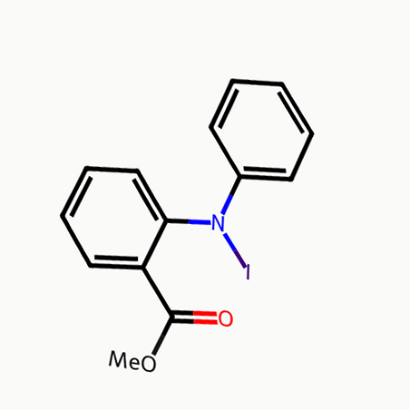 COC(=O)c1ccccc1N(I)c1ccccc1